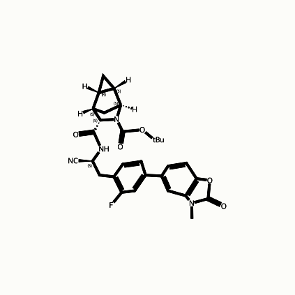 Cn1c(=O)oc2ccc(-c3ccc(C[C@@H](C#N)NC(=O)[C@@H]4[C@H]5C[C@@H]([C@H]6C[C@@H]56)N4C(=O)OC(C)(C)C)c(F)c3)cc21